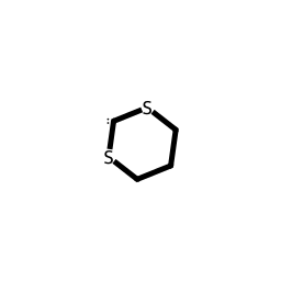 [C]1SCCCS1